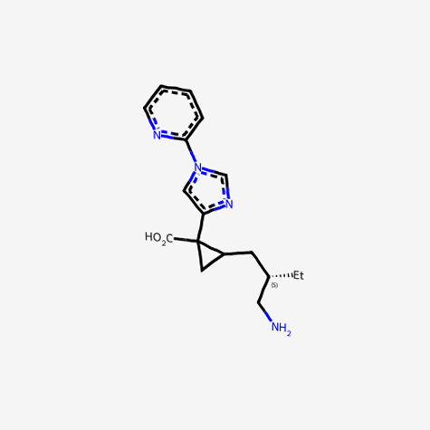 CC[C@H](CN)CC1CC1(C(=O)O)c1cn(-c2ccccn2)cn1